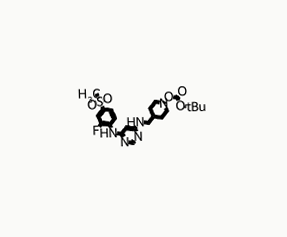 CC(C)(C)OC(=O)ON1CCC(CNc2cc(Nc3ccc(S(C)(=O)=O)cc3F)ncn2)CC1